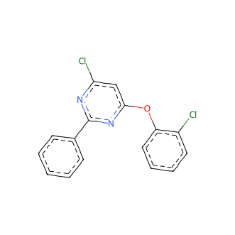 Clc1cc(Oc2ccccc2Cl)nc(-c2ccccc2)n1